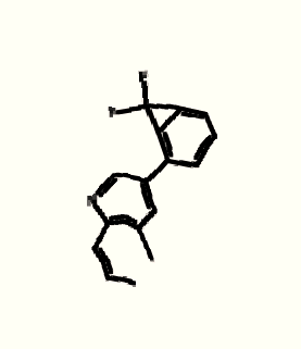 C/C=C\c1ncc(-c2cccc3c2C3(F)F)cc1C